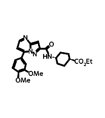 CCOC(=O)[C@H]1CC[C@H](NC(=O)c2cc3nccc(-c4ccc(OC)c(OC)c4)n3n2)CC1